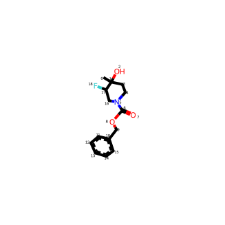 CC1(O)CCN(C(=O)OCc2ccccc2)CC1F